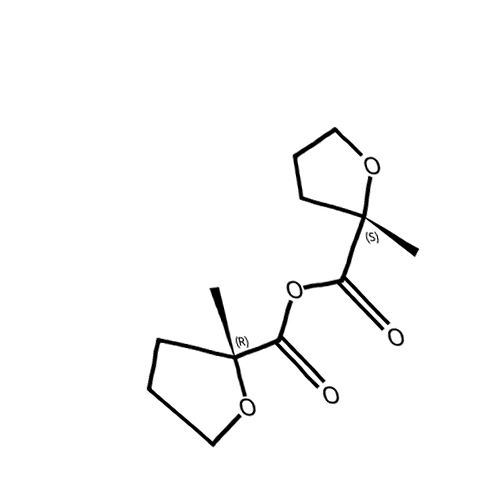 C[C@]1(C(=O)OC(=O)[C@]2(C)CCCO2)CCCO1